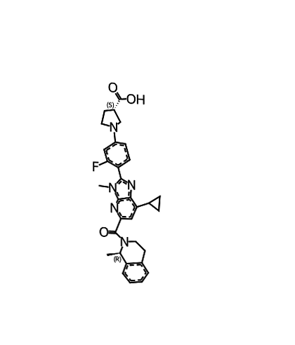 C[C@@H]1c2ccccc2CCN1C(=O)c1cc(C2CC2)c2nc(-c3ccc(N4CC[C@H](C(=O)O)C4)cc3F)n(C)c2n1